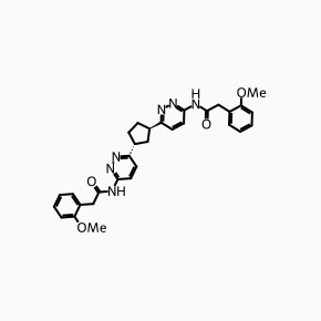 COc1ccccc1CC(=O)Nc1ccc([C@@H]2CC[C@@H](c3ccc(NC(=O)Cc4ccccc4OC)nn3)C2)nn1